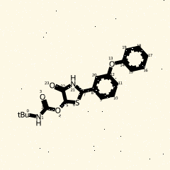 CC(C)(C)NC(=O)OC1SC(c2cccc(Oc3ccccc3)c2)NC1=O